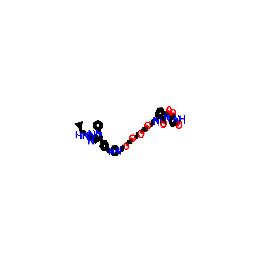 O=C1CCC(N2C(=O)c3cccc(NCCOCCOCCOCCOCCN4CCN(Cc5ccc(-c6cn(C7CCCCC7)c7nc(NCCC8CC8)ncc67)cc5)CC4)c3C2=O)C(=O)N1